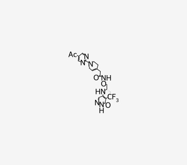 CC(=O)c1cnc(N2CC=C(CC(=O)NOC[C@H](C)Nc3cn[nH]c(=O)c3C(F)(F)F)CC2)nc1